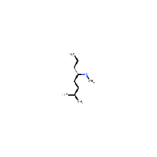 CCC[C@@H](CCC(C)C)NC